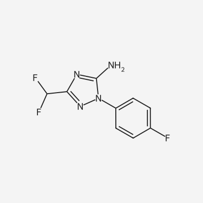 Nc1nc(C(F)F)nn1-c1ccc(F)cc1